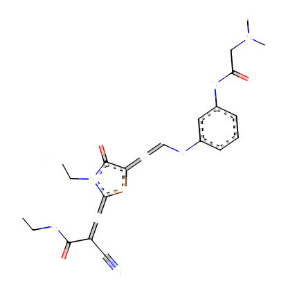 CCNC(=O)C(=C=c1sc(=C=CNc2cccc(NC(=O)CN(C)C)c2)c(=O)n1CC)C#N